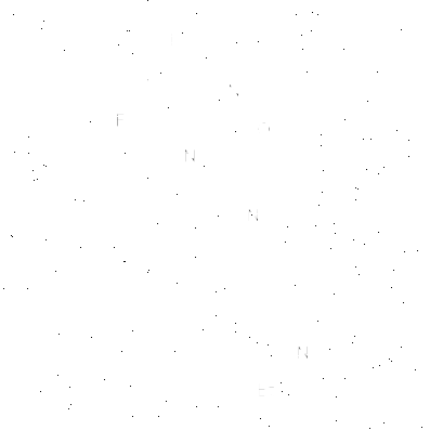 CCNC1CCN(c2nc(C(C)(F)F)no2)CC1